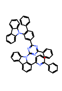 c1ccc(-c2cccc(-c3cccc4c5ccccc5n(-c5nc(-c6ccccc6)nc(-c6ccc(-c7ccccc7)c(-n7c8ccccc8c8ccccc87)c6)n5)c34)n2)cc1